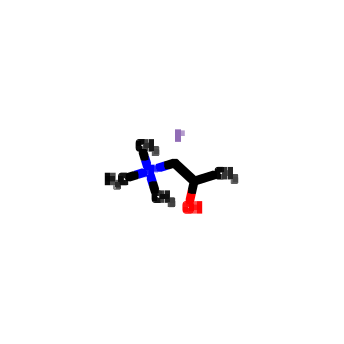 CC(O)C[N+](C)(C)C.[I-]